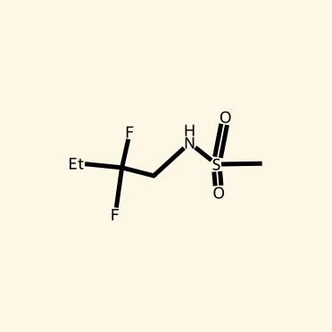 CCC(F)(F)CNS(C)(=O)=O